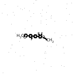 C=CCCOc1ccc(-c2ccc(-c3ccc(C4CCC(C)OC4)cc3F)cc2)c(F)c1F